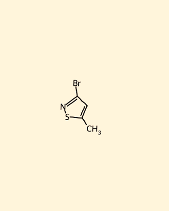 Cc1cc(Br)ns1